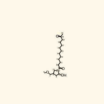 COCC1CC(O)N(C(=O)CCCCCCCCCCC(C)=O)C1